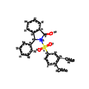 COc1ccc(S(=O)(=O)N2C(=O)c3ccccc3C2c2ccccc2)cc1OC